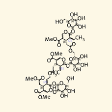 C/C=C1\[C@H](O[C@@H]2O[C@H](CO)[C@@H](O)[C@H](O)[C@H]2O)OC=C(C(=O)OC)[C@H]1CC(=O)OC[C@H]1O[C@@H](O[C@@H]2OC=C(C(=O)OC)[C@@H](CC(=O)OC/C=C3\[C@H](O[C@@H]4O[C@H](CO)[C@@H](O)[C@H](O)[C@H]4O)OC=C(C(=O)OC)[C@H]3CC(=O)OC)/C2=C\C)[C@H](O)[C@@H](O)[C@@H]1O